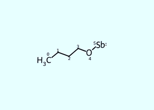 CCCC[O][Sb]